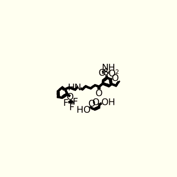 NS(=O)(=O)c1cc(C(=O)CCCCNCCc2ccccc2OC(F)(F)F)cc2c1OCC2.O=C(O)/C=C\C(=O)O